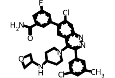 Cc1cc(Cl)cc(-c2nnc3cc(Cl)c(-c4cc(F)cc(C(N)=O)c4)cc3c2N2CCC(NC3COC3)CC2)c1